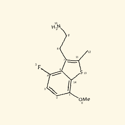 COc1ccc(F)c2c(CCN)c(C)sc12